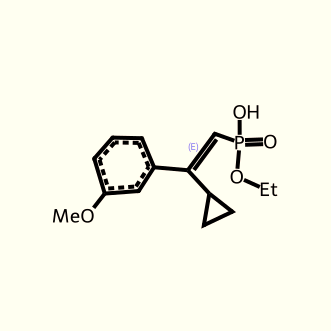 CCOP(=O)(O)/C=C(/c1cccc(OC)c1)C1CC1